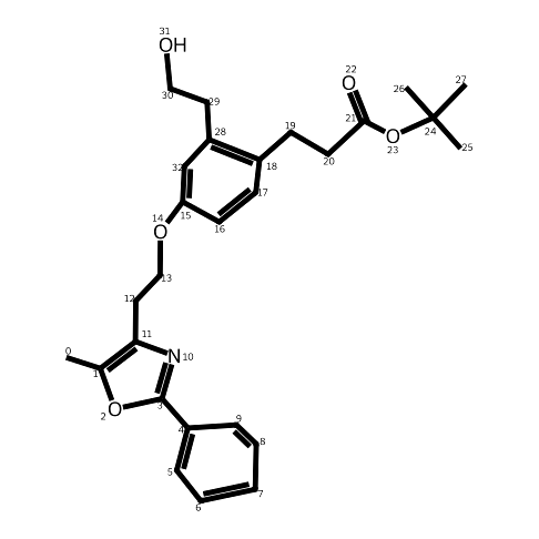 Cc1oc(-c2ccccc2)nc1CCOc1ccc(CCC(=O)OC(C)(C)C)c(CCO)c1